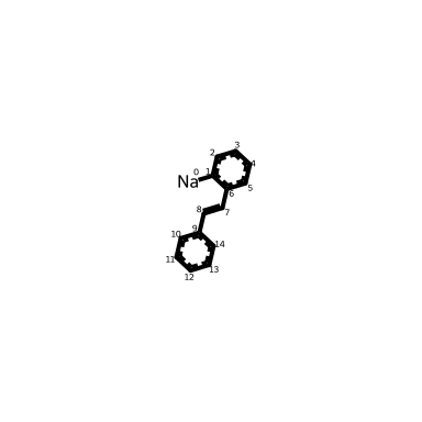 [Na][c]1ccccc1C=Cc1ccccc1